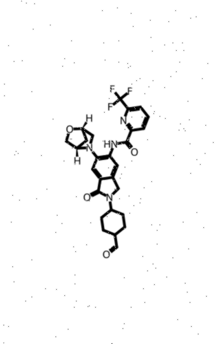 O=CC1CCC(N2Cc3cc(NC(=O)c4cccc(C(F)(F)F)n4)c(N4C[C@@H]5C[C@H]4CO5)cc3C2=O)CC1